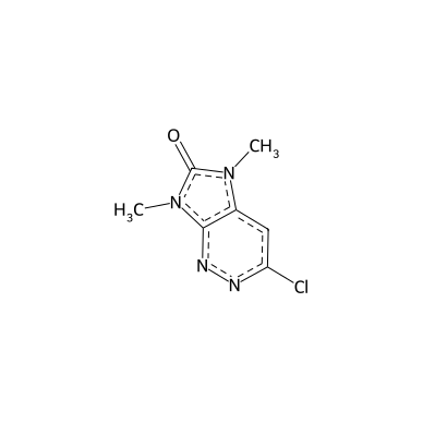 Cn1c(=O)n(C)c2nnc(Cl)cc21